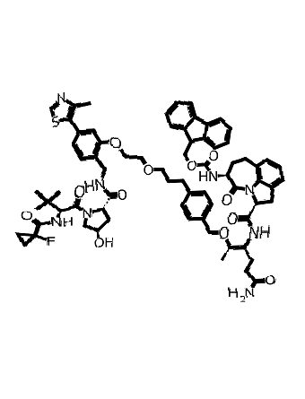 Cc1ncsc1-c1ccc(CNC(=O)[C@@H]2C[C@@H](O)CN2C(=O)[C@@H](NC(=O)C2(F)CC2)C(C)(C)C)c(OCCOCCCc2ccc(CO[C@H](C)[C@H](CCC(N)=O)NC(=O)[C@@H]3Cc4cccc5c4N3C(=O)[C@@H](NC(=O)OCC3c4ccccc4-c4ccccc43)CC5)cc2)c1